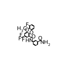 COc1c(F)cccc1Oc1ccc(C(F)(F)F)cc1C(=O)Nc1cccc(C(N)=O)c1